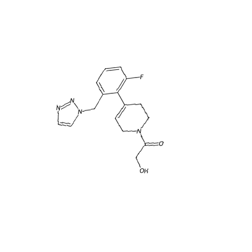 O=C(CO)N1CC=C(c2c(F)cccc2[CH]n2ccnn2)CC1